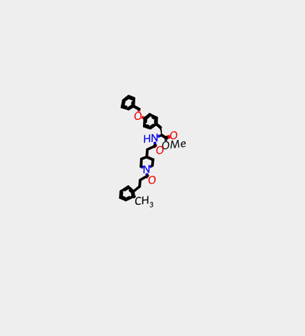 COC(=O)[C@H](Cc1ccc(OCc2ccccc2)cc1)NC(=O)CC1CCN(C(=O)CCc2ccccc2C)CC1